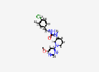 COc1cc(N2CCC[C@@H](N(C)C(=O)NCc3ccc(Cl)c(C)c3)C2)ncn1